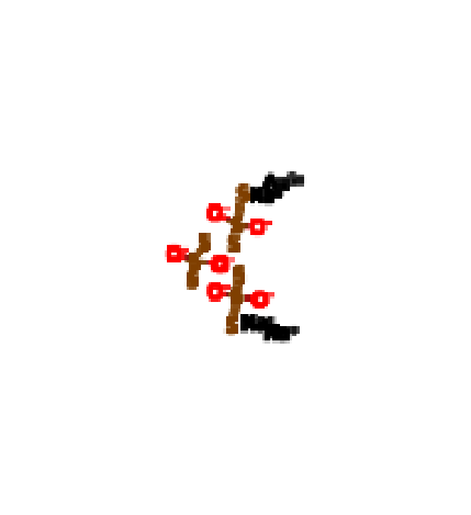 [Au+3].[Na+].[Na+].[Na+].[O-]S([O-])(=S)=S.[O-]S([O-])(=S)=S.[O-]S([O-])(=S)=S